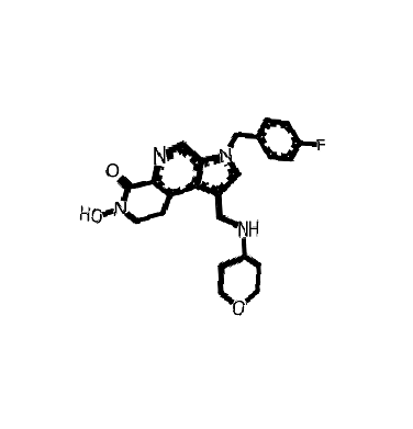 O=C1c2ncc3c(c(CNC4CCOCC4)cn3Cc3ccc(F)cc3)c2CCN1O